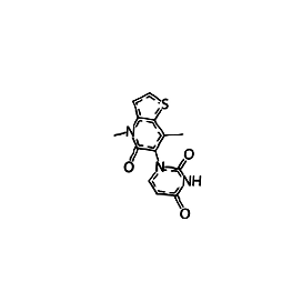 Cc1c(-n2ccc(=O)[nH]c2=O)c(=O)n(C)c2ccsc12